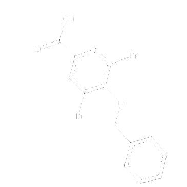 O=C(O)c1cc(Br)c(OCc2ccccc2)c(Br)c1